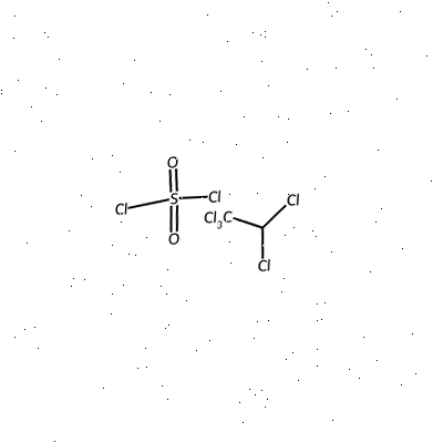 ClC(Cl)C(Cl)(Cl)Cl.O=S(=O)(Cl)Cl